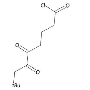 CC(C)(C)CC(=O)C(=O)CCCC(=O)Cl